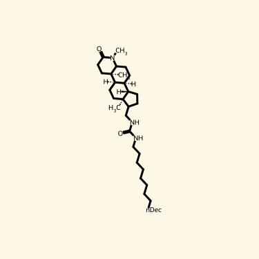 CCCCCCCCCCCCCCCCCCNC(=O)NCC1CC[C@H]2[C@@H]3CCC4N(C)C(=O)CC[C@]4(C)[C@@H]3CC[C@]12C